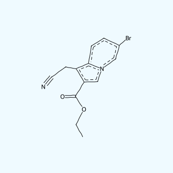 CCOC(=O)c1cn2cc(Br)ccc2c1CC#N